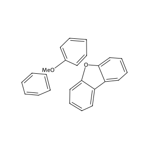 COc1ccccc1.c1ccc2c(c1)oc1ccccc12.c1ccccc1